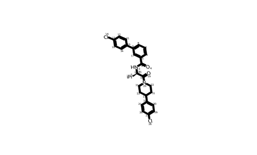 CC(C)[C@@H](NC(=O)c1cccc(-c2ccc(Cl)cc2)c1)C(=O)N1CCC(c2ccc(Cl)cc2)CC1